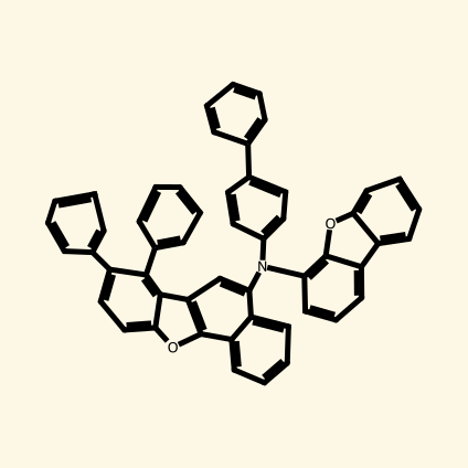 c1ccc(-c2ccc(N(c3cc4c(oc5ccc(-c6ccccc6)c(-c6ccccc6)c54)c4ccccc34)c3cccc4c3oc3ccccc34)cc2)cc1